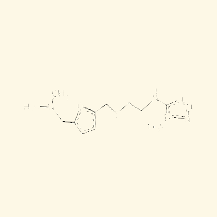 CN(C)Cc1ccc(CSCCNc2nnnn2C)o1